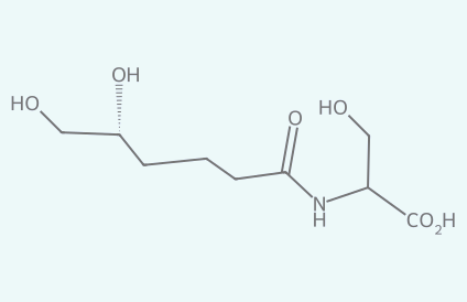 O=C(CCC[C@@H](O)CO)NC(CO)C(=O)O